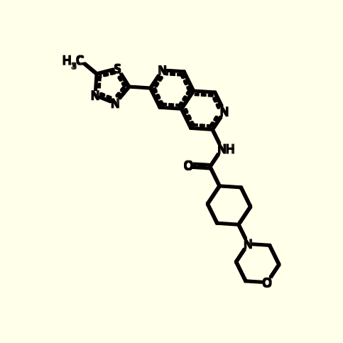 Cc1nnc(-c2cc3cc(NC(=O)C4CCC(N5CCOCC5)CC4)ncc3cn2)s1